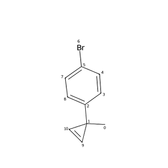 CC1(c2ccc(Br)cc2)C=C1